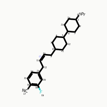 CCCC1CCC(C2CCC(C/C=C\Cc3ccc(C#N)c(F)c3)CC2)CC1